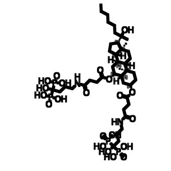 CCCCCCC(C)(O)[C@H]1CC[C@H]2[C@@H]3C[C@H](OC(=O)CCC(=O)NCCCC(O)(P(=O)(O)O)P(=O)(O)O)[C@H]4C[C@@H](OC(=O)CCC(=O)NCCCC(O)(P(=O)(O)O)P(=O)(O)O)CC[C@]4(C)[C@H]3CC[C@]12C